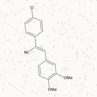 COc1ccc(/C=C(\C#N)c2ccc(Cl)cc2)cc1OC